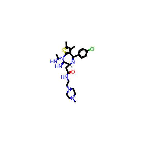 CC(=N)N1C(=N)[C@](C)(CC(=O)NCCN2CCN(C)CC2)N=C(c2ccc(Cl)cc2)c2c1sc(C)c2C